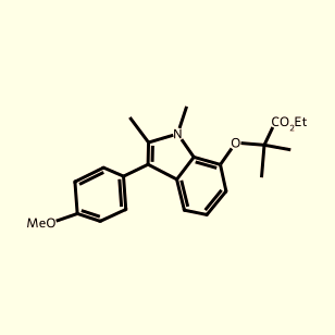 CCOC(=O)C(C)(C)Oc1cccc2c(-c3ccc(OC)cc3)c(C)n(C)c12